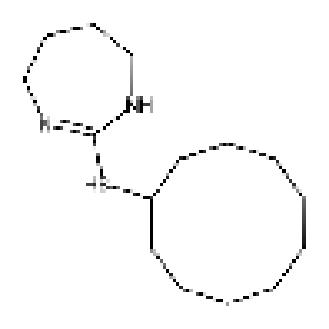 B(C1=NCCCCN1)C1CCCCCCCCC1